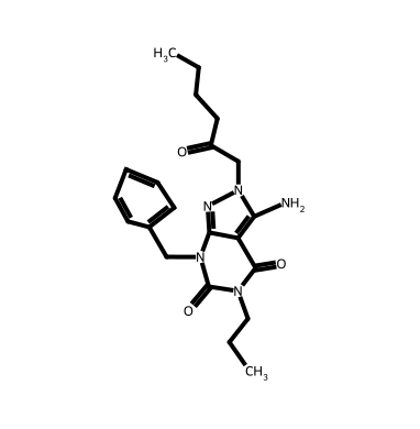 CCCCC(=O)Cn1nc2c(c1N)c(=O)n(CCC)c(=O)n2Cc1ccccc1